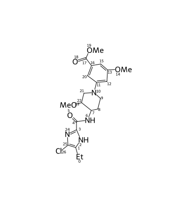 CCc1[nH]c(C(=O)NC2CCN(c3cc(OC)cc(C(=O)OC)c3)CC2OC)nc1Cl